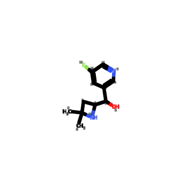 CC1(C)CC(C(O)c2cncc(F)c2)N1